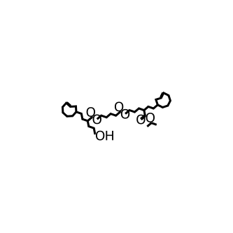 CC(C)OC(=O)C(CCCOC(=O)CCCCOC(=O)C(CCCO)CCC1C/C=C/CCCC1)CCC1C/C=C/CCCC1